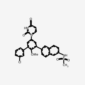 COc1c(-c2cccc(Cl)c2)cc(-n2ccc(=O)[nH]c2=O)cc1-c1ccc2cc(NS(C)(=O)=O)ccc2c1